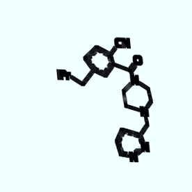 CC(C)Cc1ccc(C#N)c(C(=O)N2CCN(Cc3cccnn3)CC2)c1